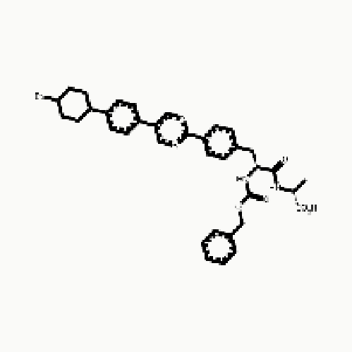 CCC1CCC(c2ccc(-c3cnc(-c4ccc(C[C@H](NC(=O)OCc5ccccc5)C(=O)N[C@H](C)C(=O)O)cc4)nc3)cc2)CC1